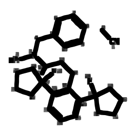 CC#N.CCCN(Cc1ccccc1)C(C)CCc1c(C2(F)CCCC2)cccc1C1(F)CCCC1